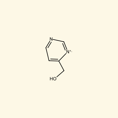 OCC1=CC=NC=[N+]1